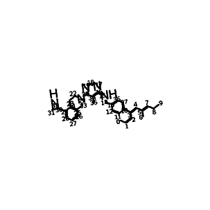 C\C=C/C(=C\C(C)=C\CC)c1ccc(CNc2ncnc(N3CCc4c(cccc4C4CN4)C3)c2C)cc1